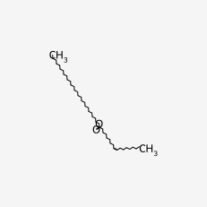 CCCCCCCC/C=C\CCCCCCCC(=O)OCCCCCCCCCCCCCCCCCCCCCCCCCC